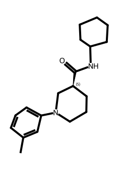 Cc1cccc(N2CCC[C@H](C(=O)NC3CCCCC3)C2)c1